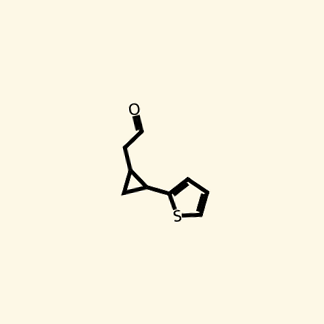 O=CCC1CC1c1cccs1